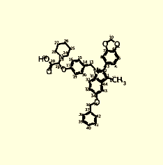 Cc1c(-c2ccc3c(c2)OCO3)n(Cc2ccc(OC(C(=O)O)N3CCCCC3)cc2)c2ccc(OCc3ccccc3)cc12